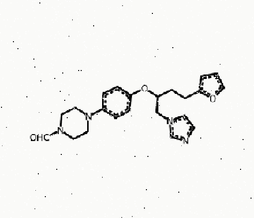 O=CN1CCN(c2ccc(OC(CCc3ccco3)Cn3ccnc3)cc2)CC1